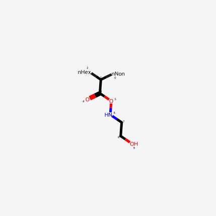 CCCCCCCCCC(CCCCCC)C(=O)ONCCO